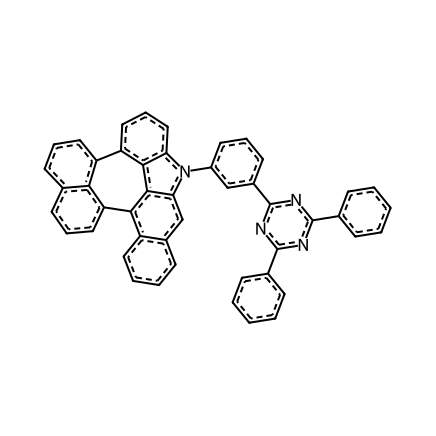 c1ccc(-c2nc(-c3ccccc3)nc(-c3cccc(-n4c5cccc6c5c5c(c7ccccc7cc54)-c4cccc5cccc-6c45)c3)n2)cc1